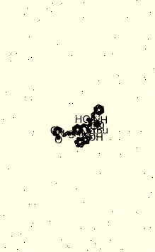 CC(C)(C)OC(=O)NC(Cc1ccccc1)C(O)CC(Cc1ccc(OCCN2CCOCC2=O)cc1)C(=O)NC1c2ccccc2CC1O